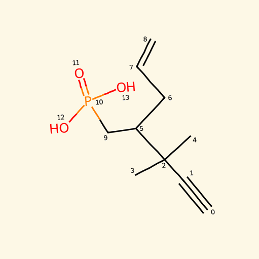 C#CC(C)(C)C(CC=C)CP(=O)(O)O